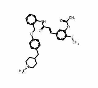 COc1ccc(/C=C/C(=O)Nc2ccccc2COc2ccc(CC3CCN(C)CC3)cc2)cc1OC(C)=O